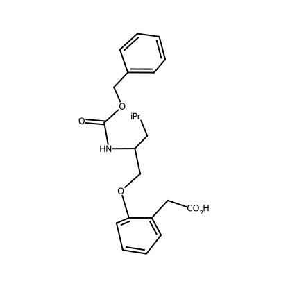 CC(C)CC(COc1ccccc1CC(=O)O)NC(=O)OCc1ccccc1